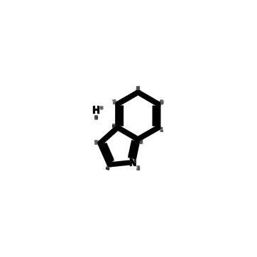 C1=CC2=NC=CC2=CC1.[H+]